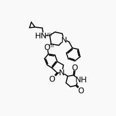 O=C1CCC(N2Cc3cc(O[C@H]4CN(Cc5ccccc5)CC[C@@H]4NCC4CC4)ccc3C2=O)C(=O)N1